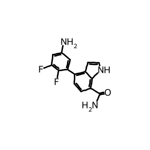 NC(=O)c1ccc(-c2cc(N)cc(F)c2F)c2cc[nH]c12